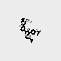 CN1Cc2c3cc(-c4cn5ccc(C6CC6)nc5c(-c5ccc(OC(F)F)cc5)c4=O)ccc3nn2CC12CC2